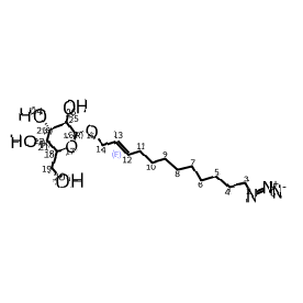 [N-]=[N+]=NCCCCCCCCC/C=C/CO[C@@H]1OC(CO)[C@H](O)[C@H](O)C1O